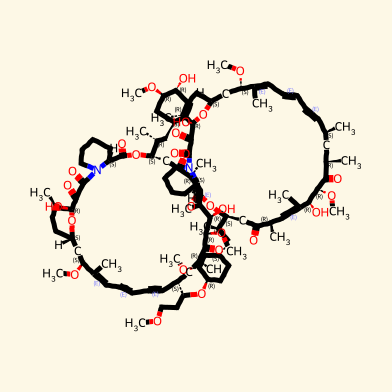 COCCC(O[C@@H]1CC[C@@H](C[C@@H](C)[C@@H]2CC(=O)[C@H](C)/C=C(\C)[C@@H](O)[C@@H](OC)C(=O)[C@H](C)C[C@H](C)/C=C/C=C/C=C(\C)[C@@H](OC)C[C@@H]3CC[C@@H](C)[C@@](O)(O3)C(=O)C(=O)N3CCCC[C@H]3C(=O)O2)C[C@H]1OC)[C@@H]1/C=C/C=C/C=C(\C)[C@@H](OC)C[C@@H]2CC[C@@H](C)[C@@](O)(O2)C(=O)C(=O)N2CCCC[C@H]2C(=O)O[C@H]([C@H](C)C[C@@H]2CC[C@@H](O)[C@H](OC)C2)CC(=O)[C@H](C)/C=C(\C)[C@@H](O)[C@@H](OC)C(=O)[C@H](C)C1